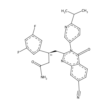 CC(C)c1ccc(-n2c(C[C@@H](CC(N)=O)c3cc(F)cc(F)c3)nc3cc(C#N)ccc3c2=O)cn1